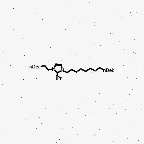 CCCCCCCCCCCCCCCCCCN1C=CN(CCCCCCCCCCCC)C1C(C)C